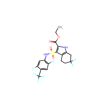 CCOC(=O)c1[nH]c2c(c1S(=O)(=O)Nc1cc(F)c(C(F)(F)F)cc1F)CCC(F)(F)C2